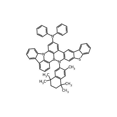 Cc1cc2c(cc1N1B3c4c(cc(N(c5ccccc5)c5ccccc5)cc4-n4c5ccccc5c5cccc3c54)-c3cc4c(cc31)sc1ccccc14)C(C)(C)CCC2(C)C